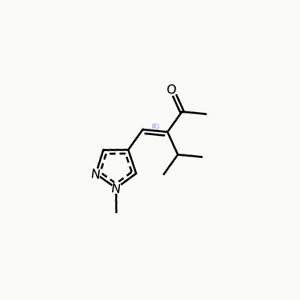 CC(=O)/C(=C/c1cnn(C)c1)C(C)C